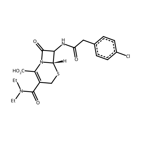 CCN(CC)C(=O)C1=C(C(=O)O)N2C(=O)C(NC(=O)Cc3ccc(Cl)cc3)[C@@H]2SC1